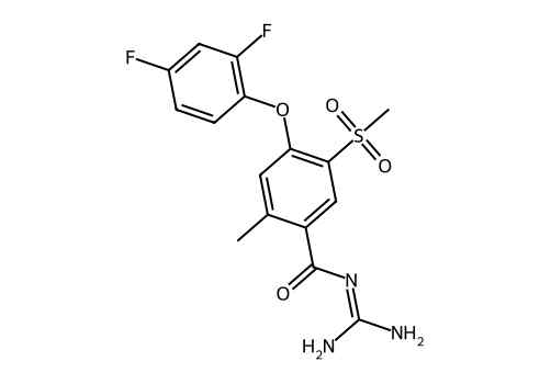 Cc1cc(Oc2ccc(F)cc2F)c(S(C)(=O)=O)cc1C(=O)N=C(N)N